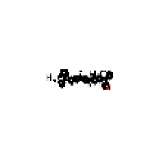 Cc1ccccc1N(c1ccccc1)c1ccc2cc3c(cc2c1)sc1cc2c(cc13)sc1cc3cc(N(c4ccccc4)c4ccccc4C)ccc3cc12